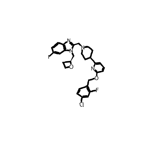 Fc1cc(Cl)ccc1COc1cccc(C2CCN(Cc3nc4ccc(I)cc4n3C[C@@H]3CCO3)CC2)n1